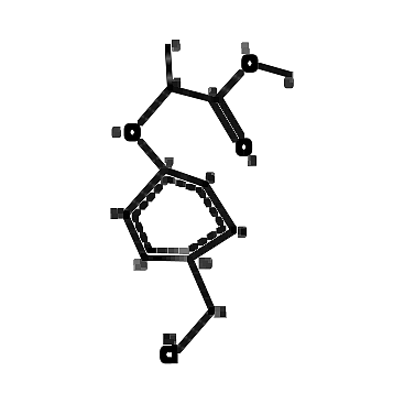 COC(=O)C(C)Oc1ccc(CCl)cc1